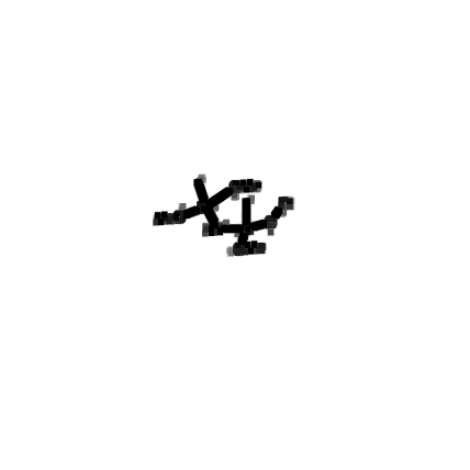 CCO[Si](C)(N[Si](C)(OC)OC)OC